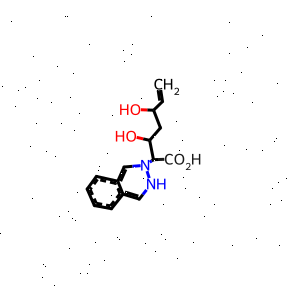 C=CC(O)CC(O)C(C(=O)O)N1C=c2ccccc2=CN1